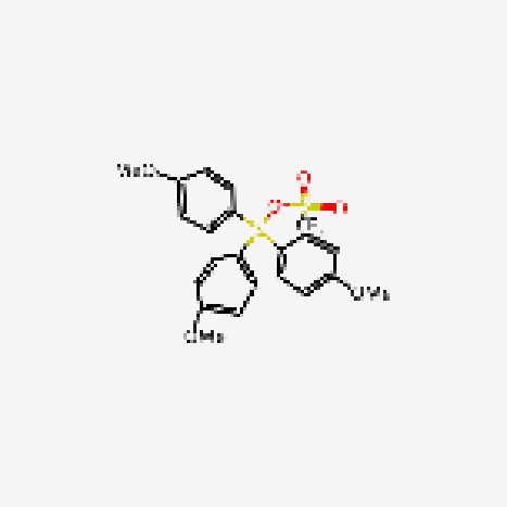 COc1ccc(S(OS(=O)(=O)C(F)(F)F)(c2ccc(OC)cc2)c2ccc(OC)cc2)cc1